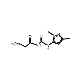 CCCCCCCCCC(=O)NC(=O)Nc1cc(C)nn1C